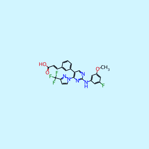 COc1cc(F)cc(Nc2ncc(-c3cccc(/C=C/C(=O)O)c3)c(-n3ccc(C(F)(F)F)n3)n2)c1